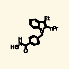 CCCc1c(CC)c2ccccc2n1Cc1ccc(C(=O)NO)cc1